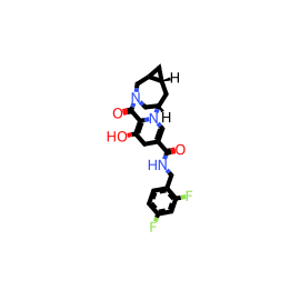 O=C(NCc1ccc(F)cc1F)C1=CN2C(=C(O)C1)C(=O)N1CC3C[C@@H]3C[C@H]2C1